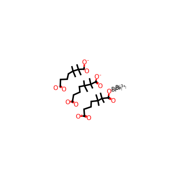 CC(C)(CCCC(=O)[O-])C(C)(C)C(=O)[O-].CC(C)(CCCC(=O)[O-])C(C)(C)C(=O)[O-].CC(C)(CCCC(=O)[O-])C(C)(C)C(=O)[O-].[Bi+3].[Bi+3]